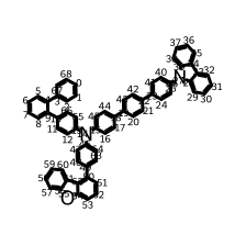 c1ccc(-c2ccccc2-c2ccc(N(c3ccc(-c4ccc(-c5ccc(-n6c7ccccc7c7ccccc76)cc5)cc4)cc3)c3ccc(-c4cccc5oc6ccccc6c45)cc3)cc2)cc1